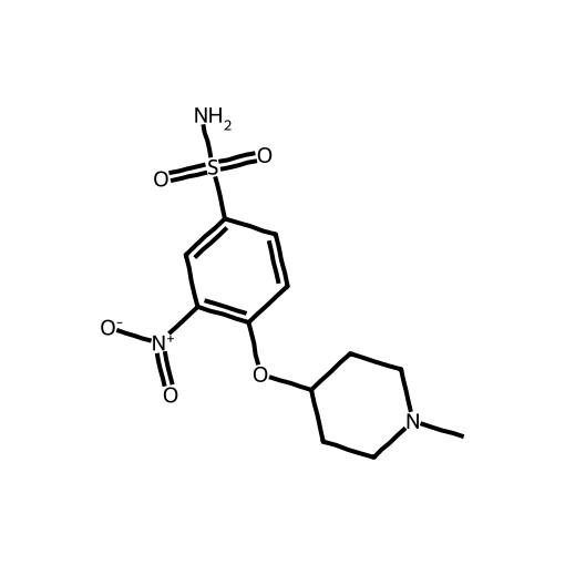 CN1CCC(Oc2ccc(S(N)(=O)=O)cc2[N+](=O)[O-])CC1